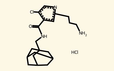 Cl.NCCCc1cc(C(=O)NCC23CC4CC(CC(C4)C2)C3)c(Cl)cn1